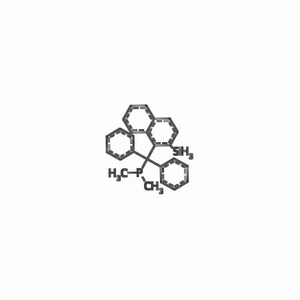 CP(C)C(c1ccccc1)(c1ccccc1)c1c([SiH3])ccc2ccccc12